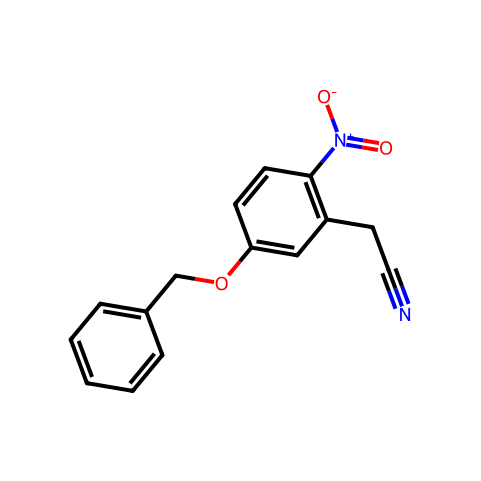 N#CCc1cc(OCc2ccccc2)ccc1[N+](=O)[O-]